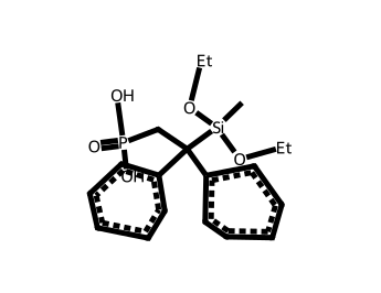 CCO[Si](C)(OCC)C(CP(=O)(O)O)(c1ccccc1)c1ccccc1